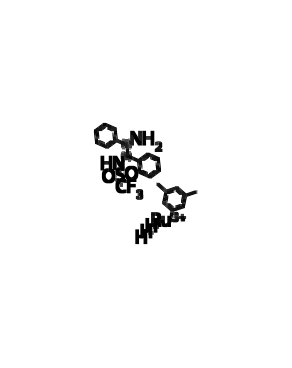 Cc1cc(C)cc(C)c1.N[C@@H](c1ccccc1)[C@@H](NS(=O)(=O)C(F)(F)F)c1ccccc1.[H-].[H-].[H-].[Ru+3]